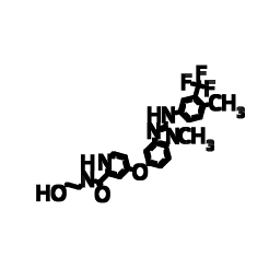 Cc1ccc(Nc2nc3cc(Oc4ccnc(C(=O)NCCO)c4)ccc3n2C)cc1C(F)(F)F